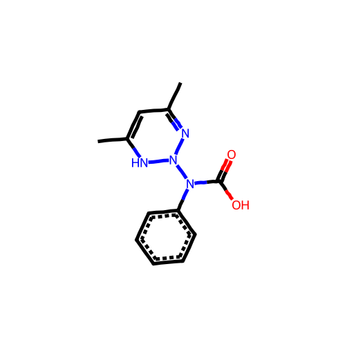 CC1=CC(C)=NN(N(C(=O)O)c2ccccc2)N1